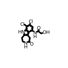 O=C1Cc2c([nH]c3c(Cl)c(Cl)cc(NC(=O)CO)c23)CCN1